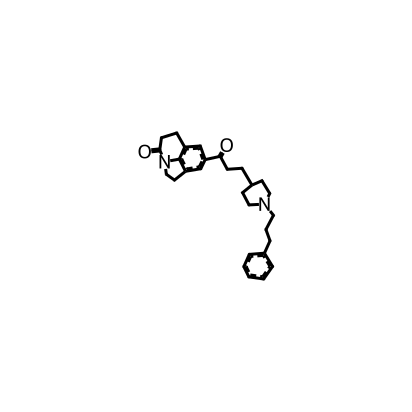 O=C(CCC1CCN(CCCc2ccccc2)CC1)c1cc2c3c(c1)CCN3C(=O)CC2